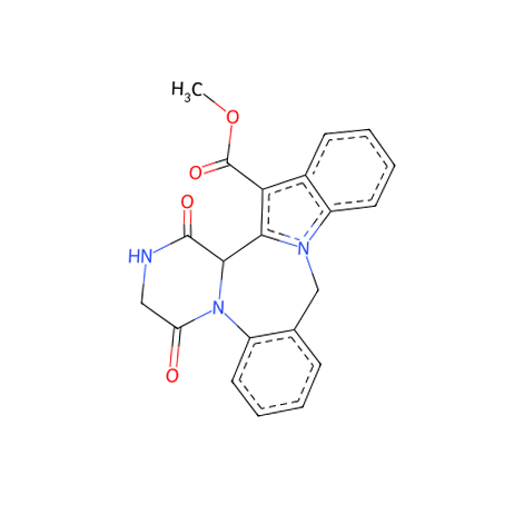 COC(=O)c1c2n(c3ccccc13)Cc1ccccc1N1C(=O)CNC(=O)C21